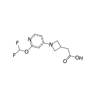 O=C(O)CC1CN(c2ccnc(OC(F)F)c2)C1